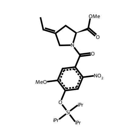 C/C=C1\C[C@@H](C(=O)OC)N(C(=O)c2cc(OC)c(O[Si](C(C)C)(C(C)C)C(C)C)cc2[N+](=O)[O-])C1